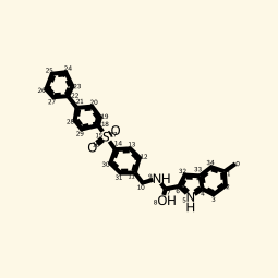 Cc1ccc2[nH]c(C(O)NCc3ccc(S(=O)(=O)c4ccc(-c5ccccc5)cc4)cc3)cc2c1